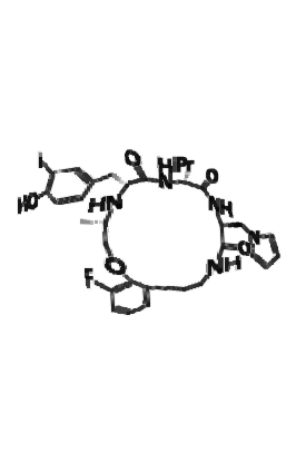 CC(C)[C@H]1NC(=O)[C@@H](Cc2ccc(O)c(I)c2)N[C@@H](C)COc2c(F)cccc2CCCNC(=O)[C@H](Cn2cccc2)NC1=O